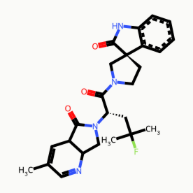 CC1=CC2C(=O)N([C@@H](CC(C)(C)F)C(=O)N3CC[C@@]4(C3)C(=O)Nc3ccccc34)CC2N=C1